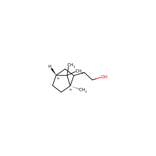 CC1(C)[C@@H]2CC[C@]1(C)C(CCO)C2